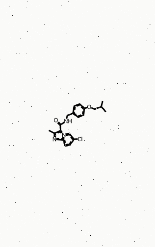 Cc1nc2ccc(Cl)cn2c1C(=O)NCc1ccc(OCC(C)C)cc1